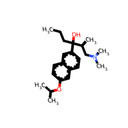 CCCC(O)(c1ccc2cc(OC(C)C)ccc2c1)C(C)CN(C)C